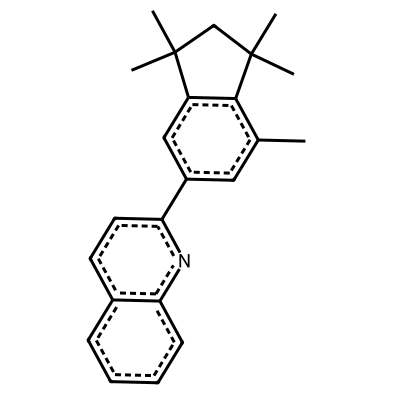 Cc1cc(-c2ccc3ccccc3n2)cc2c1C(C)(C)CC2(C)C